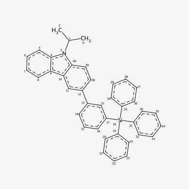 CC(C)n1c2ccccc2c2cc(-c3cccc([Si](c4ccccc4)(c4ccccc4)c4ccccc4)c3)ccc21